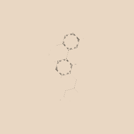 CCC(C)Cc1ccc(O)c(-c2ccccc2O)c1